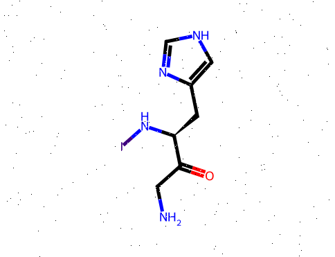 NCC(=O)[C@H](Cc1c[nH]cn1)NI